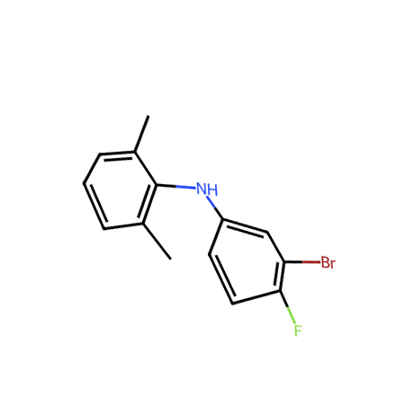 Cc1cccc(C)c1Nc1ccc(F)c(Br)c1